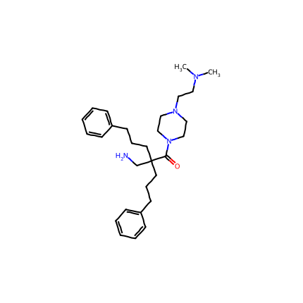 CN(C)CCN1CCN(C(=O)C(CN)(CCCc2ccccc2)CCCc2ccccc2)CC1